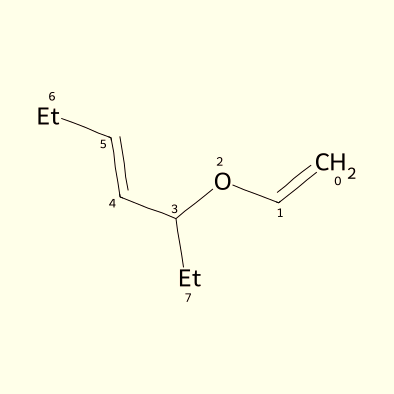 C=COC(/C=C/CC)CC